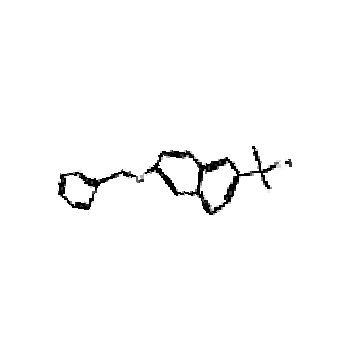 CC(C)(O)c1ccc2cc(OCc3ccccc3)ccc2c1